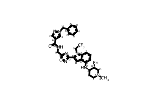 CN1CC[C@@H](Nc2cccc3c2cc(-c2noc(CNC(=O)c4cnn(Cc5ccccc5)c4)n2)n3CC(F)(F)F)[C@@H](F)C1